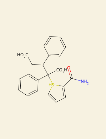 NC(=O)C1=CC=C[SH]1C(C(=O)O)(c1ccccc1)C(CC(=O)O)c1ccccc1